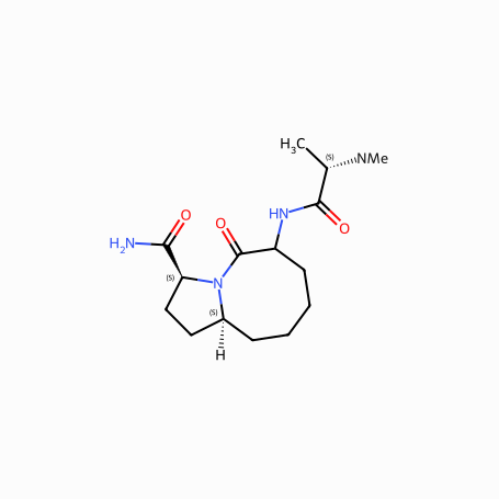 CN[C@@H](C)C(=O)NC1CCCC[C@H]2CC[C@@H](C(N)=O)N2C1=O